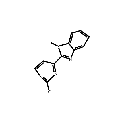 Cn1c(-c2ccnc(Cl)n2)nc2ccccc21